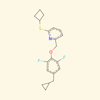 Fc1cc(CC2CC2)cc(F)c1OCc1cccc(SC2CCC2)n1